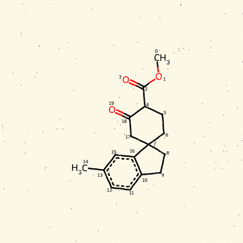 COC(=O)C1CCC2(CCc3ccc(C)cc32)CC1=O